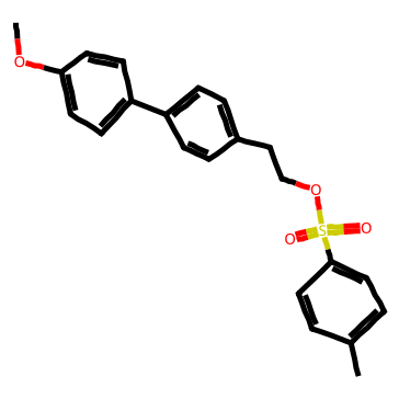 COc1ccc(-c2ccc(CCOS(=O)(=O)c3ccc(C)cc3)cc2)cc1